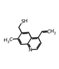 C=Cc1ccnc2cc(C)c(CS)cc12